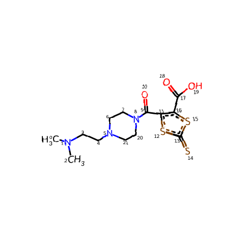 CN(C)CCN1CCN(C(=O)c2sc(=S)sc2C(=O)O)CC1